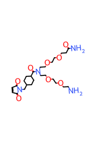 NCCOCCOCCN(CCOCCOCCC(N)=O)C(=O)C1CCC(CN2C(=O)C=CC2=O)CC1